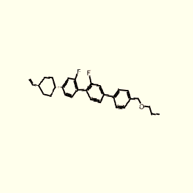 C=C[C@H]1CC[C@H](c2ccc(-c3ccc(-c4ccc(COCCC)cc4)cc3F)c(F)c2)CC1